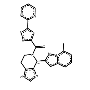 Cc1cccc2cc([C@H]3c4nc[nH]c4CCN3C(=O)c3nnc(-c4ncccn4)o3)nn12